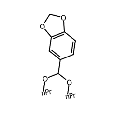 CCCOC(OCCC)c1ccc2c(c1)OCO2